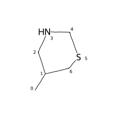 CC1CNCSC1